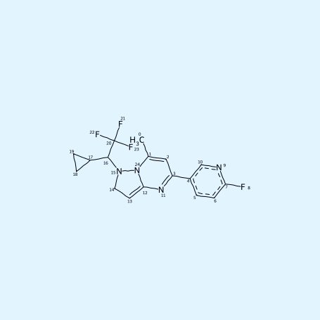 CC1=CC(c2ccc(F)nc2)=NC2=CCN(C(C3CC3)C(F)(F)F)N12